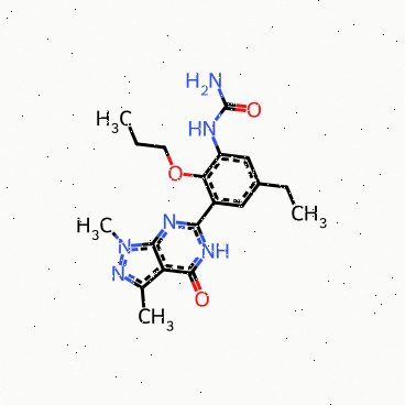 CCCOc1c(NC(N)=O)cc(CC)cc1-c1nc2c(c(C)nn2C)c(=O)[nH]1